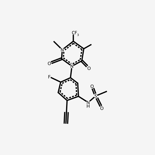 C#Cc1cc(F)c(-n2c(=O)c(C)c(C(F)(F)F)n(C)c2=O)cc1NS(C)(=O)=O